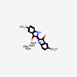 O=C1/C(=C2\Nc3ccc(S(=O)(=O)O)cc3C2=O)Nc2ccc(S(=O)(=O)O)cc21.[NaH].[NaH].[NaH].[NaH]